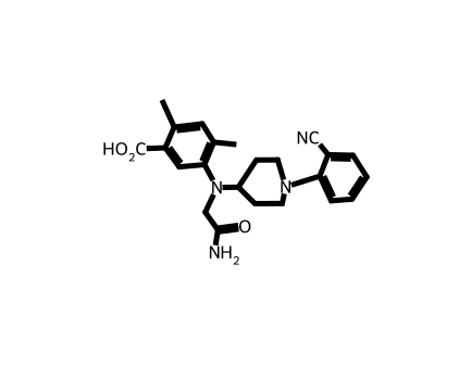 Cc1cc(C)c(N(CC(N)=O)C2CCN(c3ccccc3C#N)CC2)cc1C(=O)O